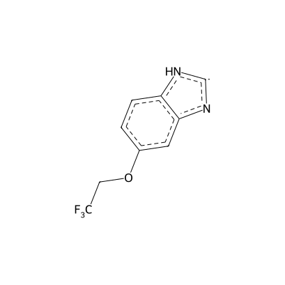 FC(F)(F)COc1ccc2[nH][c]nc2c1